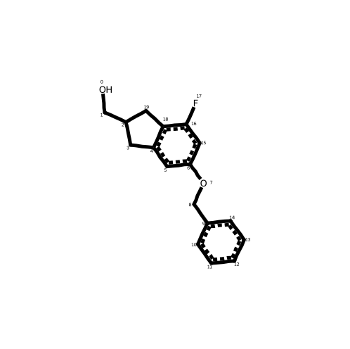 OCC1Cc2cc(OCc3ccccc3)cc(F)c2C1